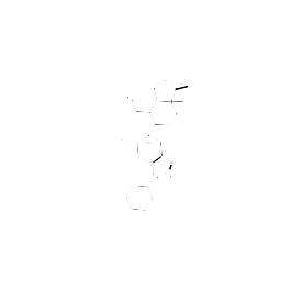 C=C1CCC2C(CN)C([C@@]3(C)Cc4cnn(C5CCCCC5)c4C[C@@H]3CO)CCC12C